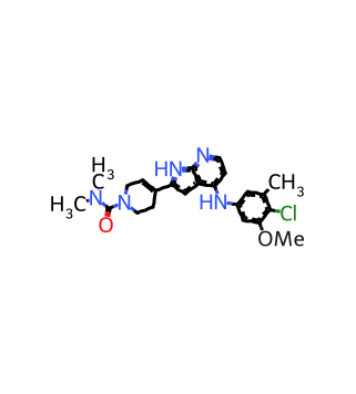 COc1cc(Nc2ccnc3[nH]c(C4=CCN(C(=O)N(C)C)CC4)cc23)cc(C)c1Cl